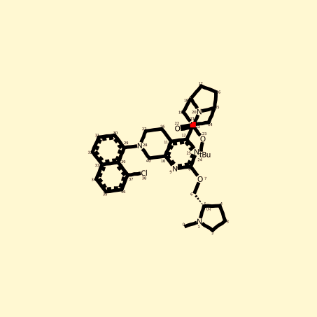 CN1CCC[C@H]1COc1nc2c(c(N3CC4CCC(C3)N4C(=O)OC(C)(C)C)n1)CCN(c1cccc3cccc(Cl)c13)C2